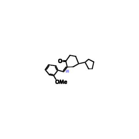 COc1ccccc1/C=C1/CC(C2CCCC2)CCC1=O